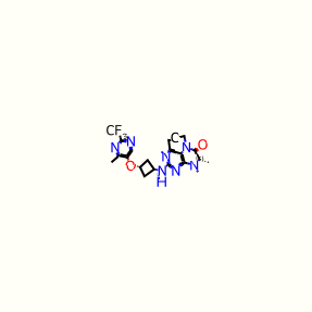 Cc1nc(C(F)(F)F)ncc1O[C@H]1C[C@H](Nc2nc3c4c(n2)N(C)[C@@H](C)C(=O)N4CCC3)C1